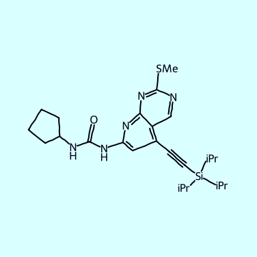 CSc1ncc2c(C#C[Si](C(C)C)(C(C)C)C(C)C)cc(NC(=O)NC3CCCC3)nc2n1